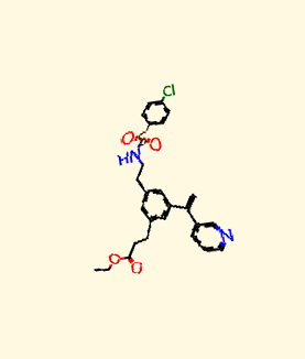 C=C(c1cccnc1)c1cc(CCNS(=O)(=O)c2ccc(Cl)cc2)cc(CCC(=O)OCC)c1